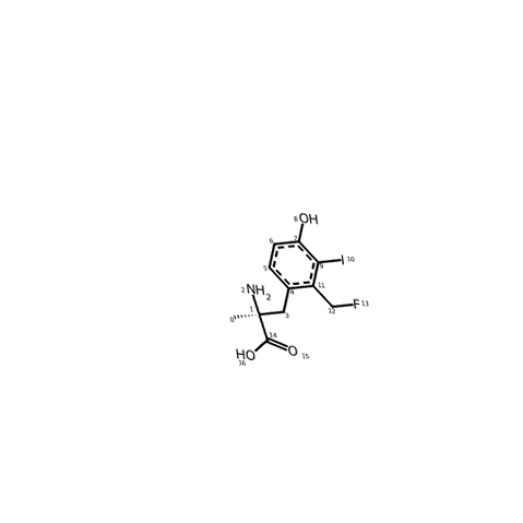 C[C@](N)(Cc1ccc(O)c(I)c1CF)C(=O)O